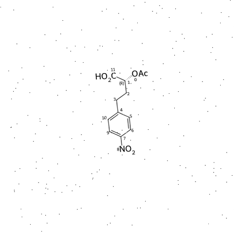 CC(=O)O[C@H](CCc1ccc([N+](=O)[O-])cc1)C(=O)O